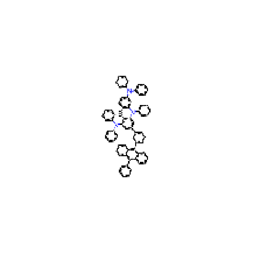 c1ccc(-c2c3ccccc3c(-c3cccc(-c4cc5c6c(c4)N(c4ccccc4)c4cc(N(c7ccccc7)c7ccccc7)ccc4B6c4ccccc4N5c4ccccc4)c3)c3ccccc23)cc1